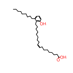 CCCCCCCCCc1cccc(O)c1CCCCCCCC/C=C\CCCCCCCC(=O)O